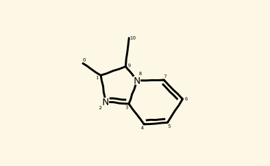 CC1N=C2C=CC=CN2C1C